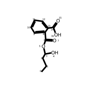 CCCC(O)OC(=O)c1ccccc1C(=O)O